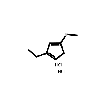 CCC1=CC[C]([Ti][CH3])=C1.Cl.Cl